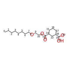 CCCCCCCCOCCOC(=O)C1CCCC(C(=O)O)C1